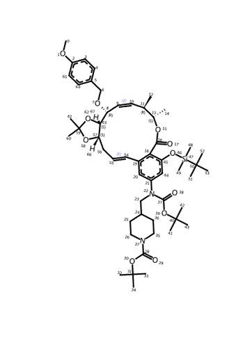 COc1ccc(CO[C@@H]2/C=C\[C@@H](C)[C@H](C)OC(=O)c3c(cc(N(CC4CCN(C(=O)OC(C)(C)C)CC4)C(=O)OC(C)(C)C)cc3O[Si](C)(C)C(C)(C)C)/C=C/C[C@@H]3OC(C)(C)O[C@@H]32)cc1